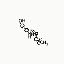 CS(=O)(=O)c1cccc(-c2ccc3cnc(Nc4ccc(N5CCC(CO)CC5)cc4)nn23)c1